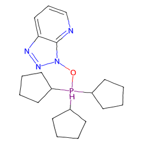 c1cnc2c(c1)nnn2O[PH](C1CCCC1)(C1CCCC1)C1CCCC1